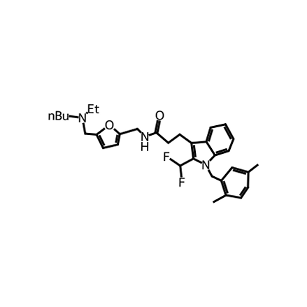 CCCCN(CC)Cc1ccc(CNC(=O)CCc2c(C(F)F)n(Cc3cc(C)ccc3C)c3ccccc23)o1